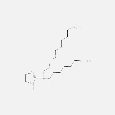 CCCCCCCCCCCCCCCCOCCC(C)(CCCCCCCCCCCCCCCC)C1=NCCN1